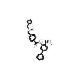 Nc1ccc(-c2ccccc2)cc1NC(=O)c1ccc(CNCC2CCC2)cc1